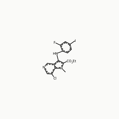 CCOC(=O)c1c(Nc2ccc(I)cc2F)c2cncc(Cl)c2n1C